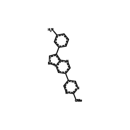 COc1ncc(-c2cnc3c(-c4cccc(N)c4)cnn3c2)cn1